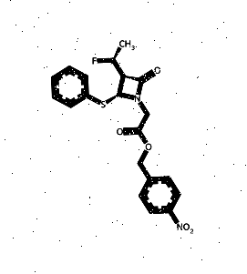 C[C@H](F)[C@H]1C(=O)N(CC(=O)OCc2ccc([N+](=O)[O-])cc2)[C@H]1Sc1ccccc1